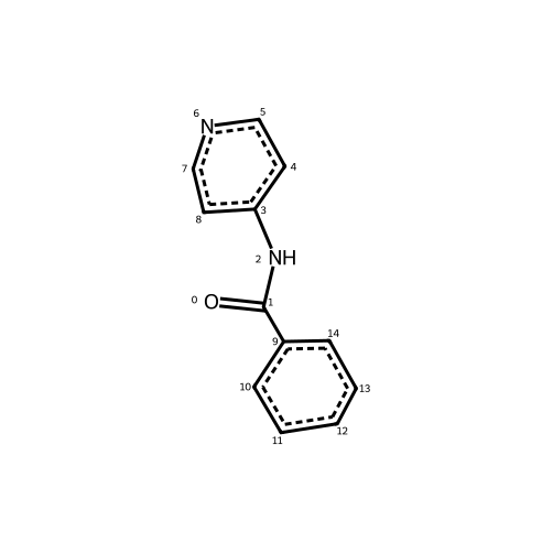 O=C(Nc1ccncc1)c1ccccc1